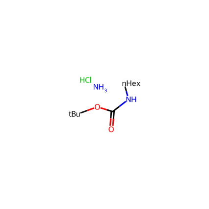 CCCCCCNC(=O)OC(C)(C)C.Cl.N